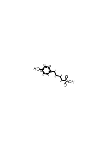 O=S(=O)(O)CCCCc1ccc(O)cc1